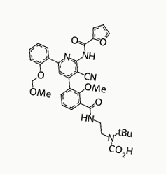 COCOc1ccccc1-c1cc(-c2cccc(C(=O)NCCN(C(=O)O)C(C)(C)C)c2OC)c(C#N)c(NC(=O)c2ccco2)n1